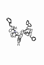 CCC(C)C(NC(=O)C(Cc1c[nH]cn1)NC(=O)[C@@H](Cc1cccc2ccccc12)NC(=O)OCc1ccccc1)O/[P+]([O-])=C/C(=O)NCc1ccccc1